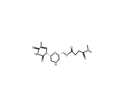 Cc1cn([C@H]2CNC[C@@H](COC(=O)CCC(=O)N(C)C)O2)c(=O)[nH]c1=O